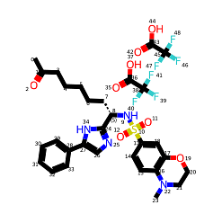 CC(=O)CCCCC[C@H](NS(=O)(=O)c1ccc2c(c1)OCCN2C)c1ncc(-c2ccccc2)[nH]1.O=C(O)C(F)(F)F.O=C(O)C(F)(F)F